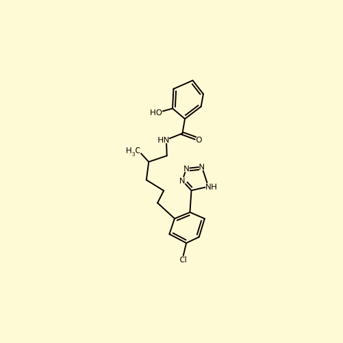 CC(CCCc1cc(Cl)ccc1-c1nnn[nH]1)CNC(=O)c1ccccc1O